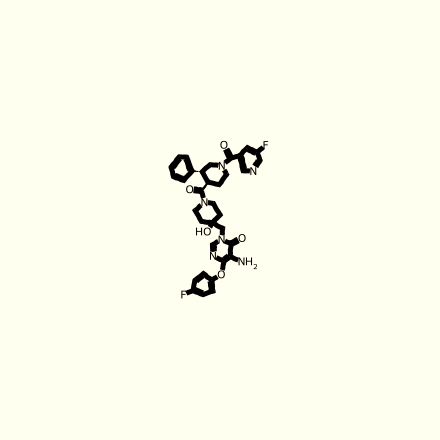 Nc1c(Oc2ccc(F)cc2)ncn(CC2(O)CCN(C(=O)[C@@H]3CCN(C(=O)c4cncc(F)c4)C[C@H]3c3ccccc3)CC2)c1=O